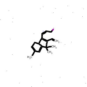 C=CC1=C(/C=C\CI)C2CC=C(C)C=C2C1(C)C